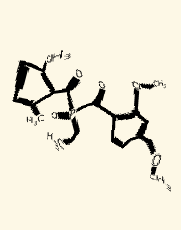 CCP(=O)(C(=O)c1ccc(OC)cc1OC)C(=O)c1c(C)cccc1C